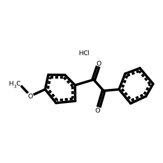 COc1ccc(C(=O)C(=O)c2ccccc2)cc1.Cl